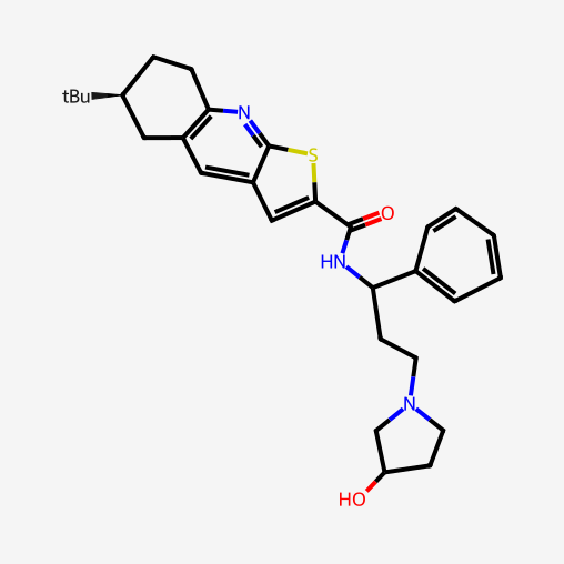 CC(C)(C)[C@H]1CCc2nc3sc(C(=O)NC(CCN4CCC(O)C4)c4ccccc4)cc3cc2C1